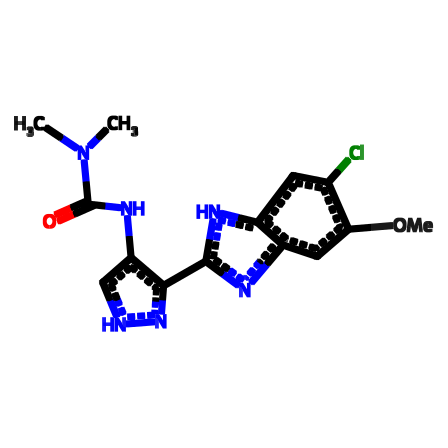 COc1cc2nc(-c3n[nH]cc3NC(=O)N(C)C)[nH]c2cc1Cl